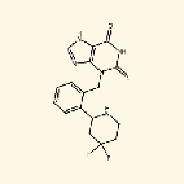 O=c1[nH]c(=S)n(Cc2ccccc2C2CC(F)(F)CCN2)c2nc[nH]c12